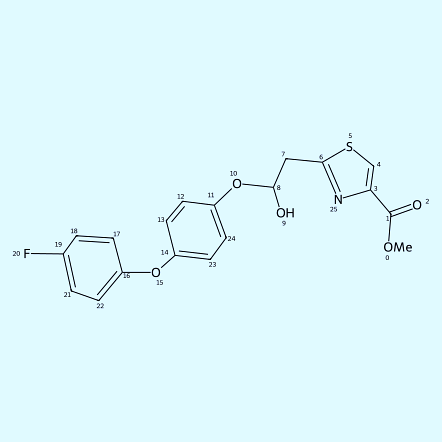 COC(=O)c1csc(CC(O)Oc2ccc(Oc3ccc(F)cc3)cc2)n1